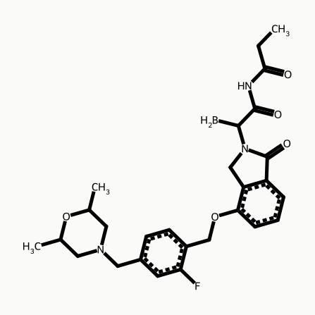 BC(C(=O)NC(=O)CC)N1Cc2c(OCc3ccc(CN4CC(C)OC(C)C4)cc3F)cccc2C1=O